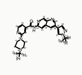 [2H]C([2H])([2H])N1CCN(c2cc(C(=O)Nc3cc4cc(-c5cnn(C([2H])([2H])[2H])c5)cnc4cn3)ccn2)CC1